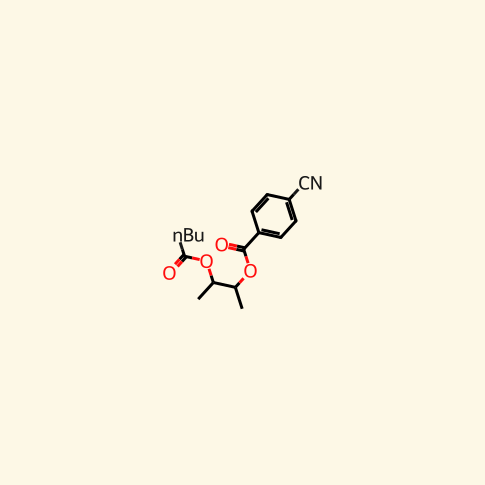 CCCCC(=O)OC(C)C(C)OC(=O)c1ccc(C#N)cc1